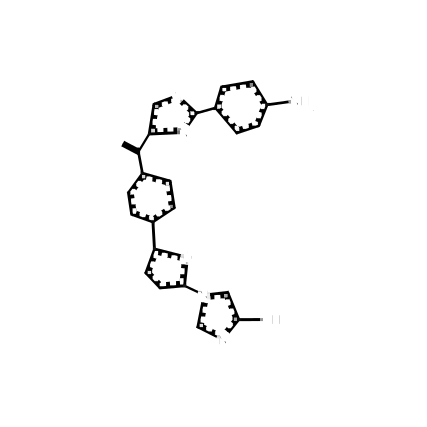 Cc1cn(-c2ccc(-c3ccc(C(=O)c4csc(-c5ccc(N)cc5)n4)cc3)o2)cn1